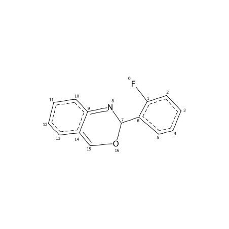 Fc1ccccc1C1N=c2ccccc2=CO1